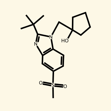 CC(C)(C)c1nc2cc(S(C)(=O)=O)ccc2n1CC1(O)CCCC1